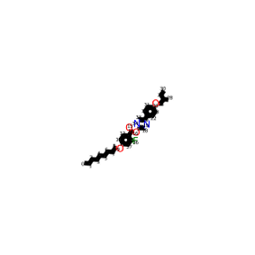 CCCCCCCCCOc1ccc(C(=O)Oc2cnc(-c3ccc(OCC(C)CC)cc3)cn2)c(F)c1